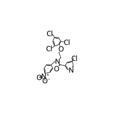 O=C(c1cncc(Cl)c1)N(CCOc1c(Cl)cc(Cl)cc1Cl)Cc1ccc([N+](=O)[O-])cc1